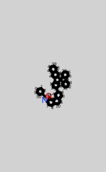 c1ccc(-c2nc3ccc4ccc5ccc(-c6ccc7c(c6)C(c6ccccc6)(c6ccccc6)c6cc8ccccc8cc6-7)cc5c4c3o2)cc1